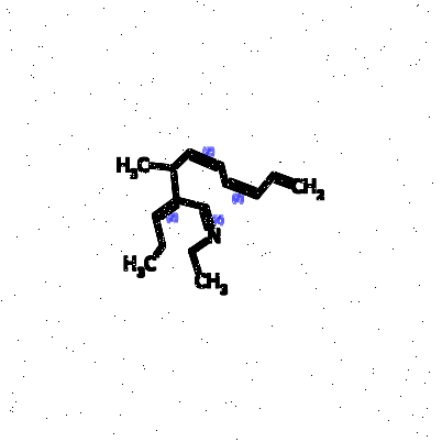 C=C/C=C\C=C/C(C)C(/C=N\CC)=C/CC